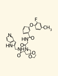 Cc1ccc(Oc2cccc(C(=O)NCC(=O)N3CC4(CC3C(=O)NCc3cc5cnccc5[nH]3)OCCO4)c2)c(F)c1